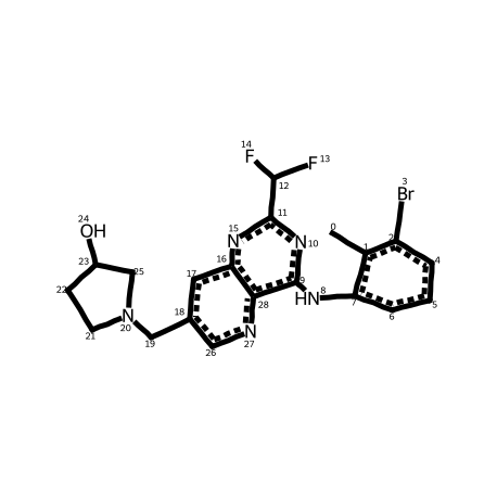 Cc1c(Br)cccc1Nc1nc(C(F)F)nc2cc(CN3CCC(O)C3)cnc12